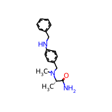 C[C@@H](C(N)=O)N(C)Cc1ccc(NCc2ccccc2)cc1